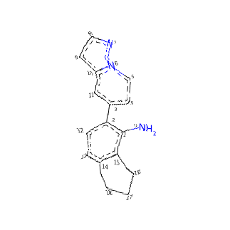 Nc1c(-c2ccn3nccc3c2)ccc2c1CCC2